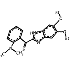 CCOc1cc2nc(C(=S)c3ccccc3N(C)C)[nH]c2cc1OCC